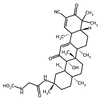 CC1(C)C(=O)C(C#N)=C[C@]2(C)C3=CC(=O)[C@]4(O)[C@@H]5C[C@@](C)(NC(=O)CNC(=O)O)CC[C@]5(C)CC[C@@]4(C)[C@]3(C)CC[C@@H]12